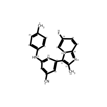 Cc1ccc(Nc2cc(C#N)cc(-c3c(C)nc4ccc(F)cn34)n2)cc1